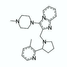 Cc1cccnc1C1CCCN1Cc1nc2ccccn2c1N1CCN(C)CC1